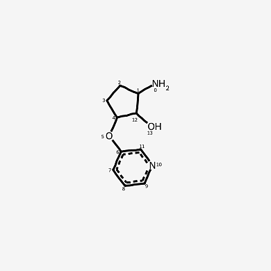 NC1CCC(Oc2cccnc2)C1O